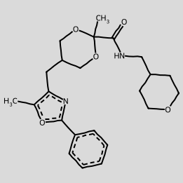 Cc1oc(-c2ccccc2)nc1CC1COC(C)(C(=O)NCC2CCOCC2)OC1